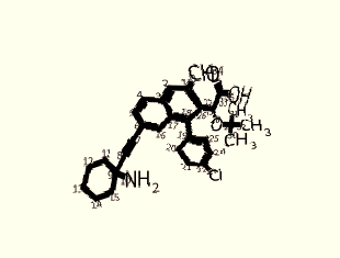 Cc1cc2ccc(C#CC3(N)CCCCC3)cc2c(-c2ccc(Cl)cc2)c1[C@H](OC(C)(C)C)C(=O)O